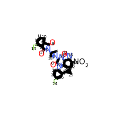 O=C(CN1CC(N2C(=O)c3cccc(F)c3C2=O)C1)N(c1ccc(F)cc1C1CC1)c1ccc([N+](=O)[O-])c2nonc12